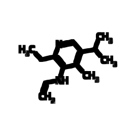 C=CNc1c(CC)ncc(C(C)C)c1C